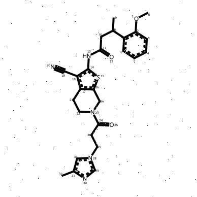 COc1ccccc1C(C)CC(=O)Nc1sc2c(c1C#N)CCN(C(=O)CCn1cnc(C)c1)C2